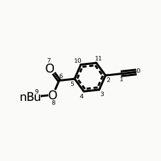 C#Cc1ccc(C(=O)OCCCC)cc1